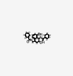 CC(NC1c2c(Br)ccc3c2C(CC1O)CN3C(=O)c1ccccc1)c1ccccc1